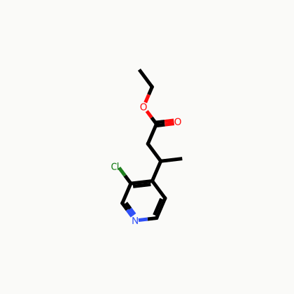 CCOC(=O)CC(C)c1ccncc1Cl